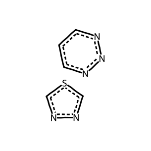 c1cnnnc1.c1nncs1